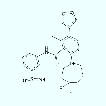 Cc1c(-c2cscn2)cnc(N2CCCC(F)(F)CC2)c1C(=O)Nc1cccc(S(C)(=N)=O)c1